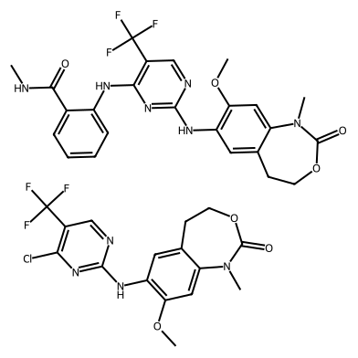 CNC(=O)c1ccccc1Nc1nc(Nc2cc3c(cc2OC)N(C)C(=O)OCC3)ncc1C(F)(F)F.COc1cc2c(cc1Nc1ncc(C(F)(F)F)c(Cl)n1)CCOC(=O)N2C